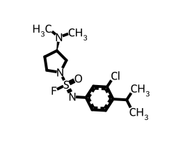 CC(C)c1ccc(N=S(=O)(F)N2CC[C@@H](N(C)C)C2)cc1Cl